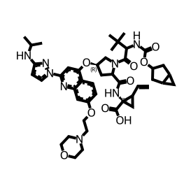 C=CC1C[C@]1(NC(=O)C1C[C@@H](Oc2cc(-n3ccc(NC(C)C)n3)nc3cc(OCCN4CCOCC4)ccc23)CN1C(=O)C(NC(=O)OC1CC2CC2C1)C(C)(C)C)C(=O)O